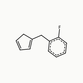 Fc1ccccc1CC1=CC=CC1